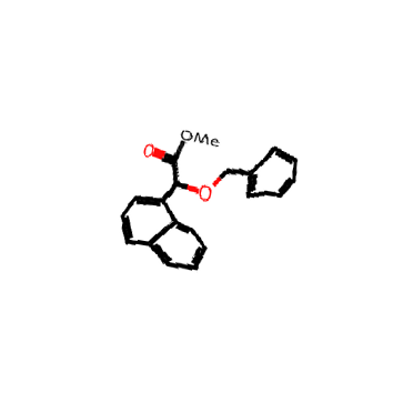 COC(=O)C(OCc1ccccc1)c1cccc2ccccc12